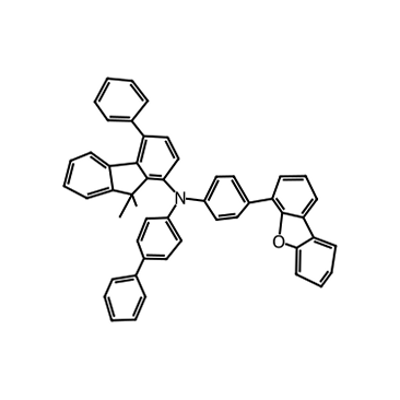 CC1(C)c2ccccc2-c2c(-c3ccccc3)ccc(N(c3ccc(-c4ccccc4)cc3)c3ccc(-c4cccc5c4oc4ccccc45)cc3)c21